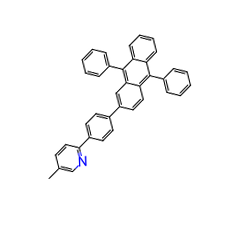 Cc1ccc(-c2ccc(-c3ccc4c(-c5ccccc5)c5ccccc5c(-c5ccccc5)c4c3)cc2)nc1